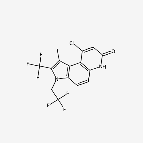 Cc1c(C(F)(F)F)n(CC(F)(F)F)c2ccc3[nH]c(=O)cc(Cl)c3c12